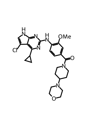 COc1cc(C(=O)N2CCC(N3CCOCC3)CC2)ccc1Nc1nc(C2CC2)c2c(Cl)c[nH]c2n1